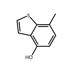 Cc1ccc(O)c2ccsc12